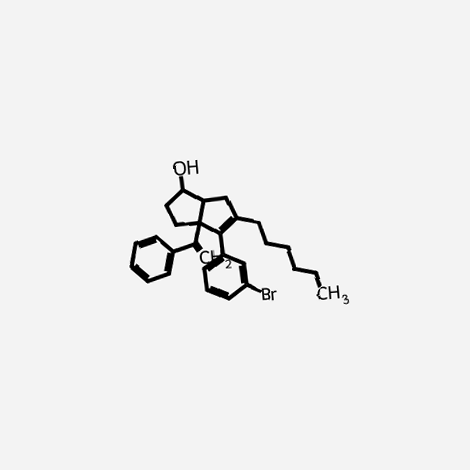 C=C(c1ccccc1)C12CCC(O)C1CC(CCCCCC)=C2c1cccc(Br)c1